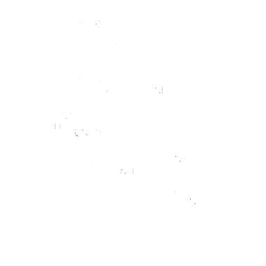 C=CC(=O)N1CCC(NC(=O)c2sc3c(N)ccc4c3c2C(N)C(=O)C4(N)c2ccc(OC3CCCCC3)cc2C)C1